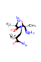 CC(=CN(C(=O)[C@H](C)N)C(=O)[C@H](C)N)C(N)=O